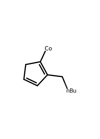 CCCCCC1=[C]([Co])CC=C1